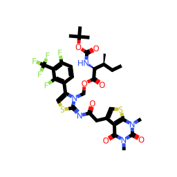 CC[C@H](C)[C@H](NC(=O)OC(C)(C)C)C(=O)OCn1c(-c2ccc(F)c(C(F)(F)F)c2F)csc1=NC(=O)Cc1csc2c1c(=O)n(C)c(=O)n2C